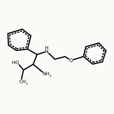 CC(O)C(N)C(NCCOc1ccccc1)c1ccccc1